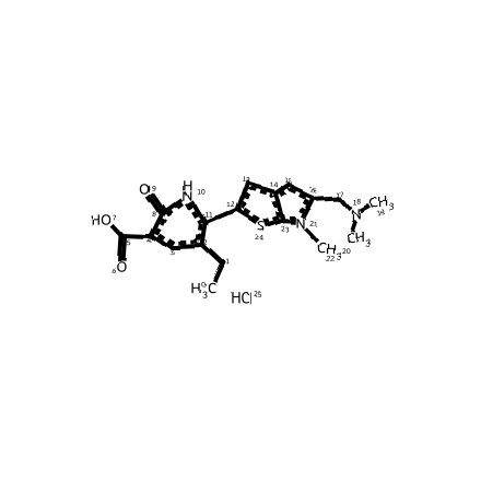 CCc1cc(C(=O)O)c(=O)[nH]c1-c1cc2cc(CN(C)C)n(C)c2s1.Cl